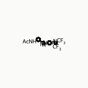 CC(=O)Nc1cccc(-c2cn(-c3ccc(-n4nc(C(F)(F)F)cc4C(F)(F)F)cc3)nn2)c1